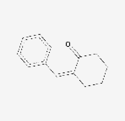 O=C1CCCC/C1=C/c1ccccc1